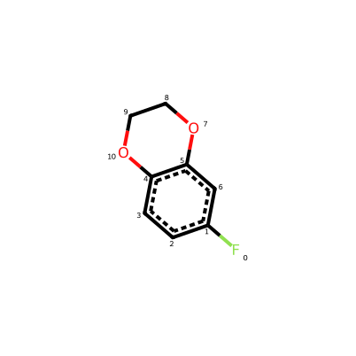 Fc1ccc2c(c1)OCCO2